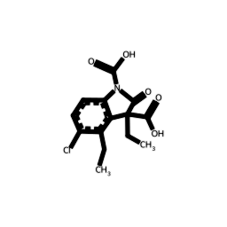 CCc1c(Cl)ccc2c1C(CC)(C(=O)O)C(=O)N2C(=O)O